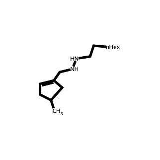 CCCCCCCCNNCC1=CCC(C)C1